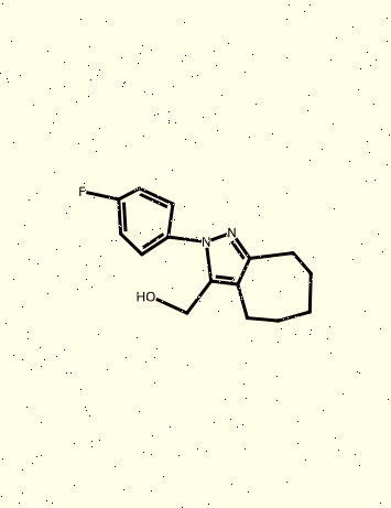 OCc1c2c(nn1-c1ccc(F)cc1)CCCCC2